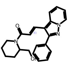 O=C(/C=C/c1c(-c2ccccc2)nn2ccccc12)N1CCCCC1CO